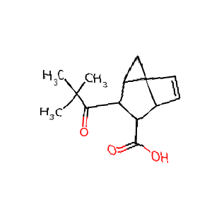 CC(C)(C)C(=O)C1C(C(=O)O)C2C=CC23CC13